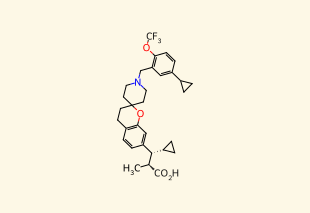 C[C@H](C(=O)O)[C@H](c1ccc2c(c1)OC1(CC2)CCN(Cc2cc(C3CC3)ccc2OC(F)(F)F)CC1)C1CC1